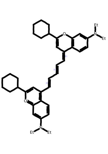 CCN(CC)c1ccc2c(c1)OC(C1CCCCC1)=C\C2=C/C=C/C=C/c1cc(C2CCCCC2)[o+]c2cc(N(CC)CC)ccc12